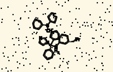 CB(c1ccccc1)c1ccccc1.CC(C)Cc1cccc([SiH2]C(c2ccccc2)(c2ccccc2)n2ccnc2)c1